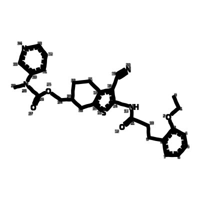 CCOc1ccccc1CCC(=O)Nc1sc2c(c1C#N)CCC(COC(=O)N(C)c1cccnc1)C2